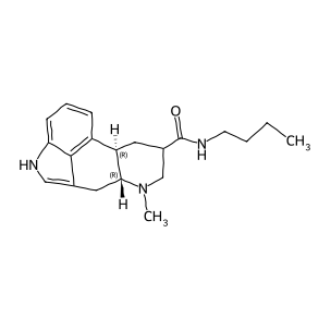 CCCCNC(=O)C1C[C@@H]2c3cccc4[nH]cc(c34)C[C@H]2N(C)C1